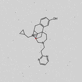 Oc1ccc2c(c1)C13CCN(CCc4ncccn4)CCC1(O)C(C2)N(CC1CC1)CC3